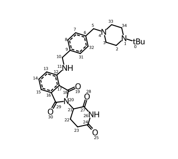 CC(C)(C)N1CCN(Cc2ccc(CNc3cccc4c3C(=O)N(C3CCC(=O)NC3=O)C4=O)cc2)CC1